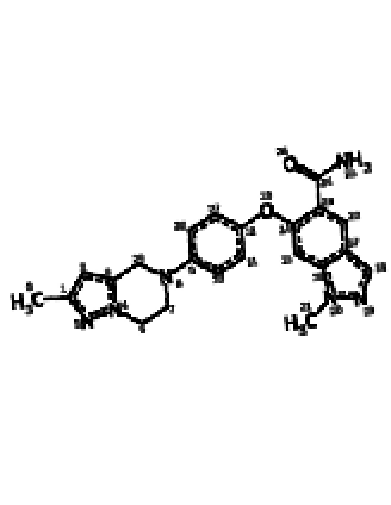 Cc1cc2n(n1)CCN(c1ccc(Oc3cc4c(cnn4C)cc3C(N)=O)cc1)C2